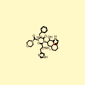 N[C@@H](Cc1c[nH]cn1)C(=O)N(C(=O)[C@H](Cc1ccccc1)NC(=O)N1CCOCC1)C(CC1CCCCC1)C(O)c1ncc[nH]1